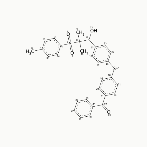 Cc1ccc(S(=O)(=O)C(C)(C)C(O)c2ccc(Sc3ccc(C(=O)c4ccccc4)cc3)cc2)cc1